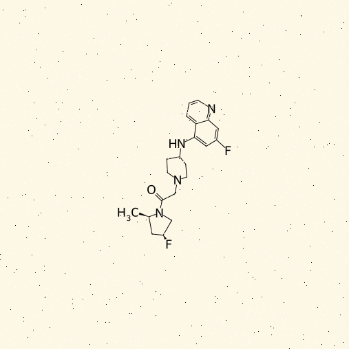 C[C@@H]1C[C@H](F)CN1C(=O)CN1CCC(Nc2cc(F)cc3ncccc23)CC1